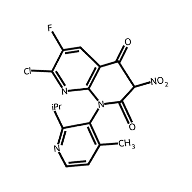 Cc1ccnc(C(C)C)c1N1C(=O)C([N+](=O)[O-])C(=O)c2cc(F)c(Cl)nc21